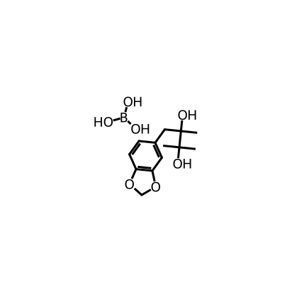 CC(C)(O)C(C)(O)Cc1ccc2c(c1)OCO2.OB(O)O